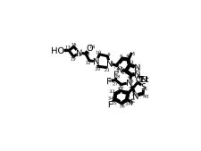 CCn1nc2c(C)cc(N3CCN(CC(=O)N4CC(O)C4)CC3)nc2c1N(CC(F)F)C1(c2ccc(F)cc2F)N=CSC1C#N